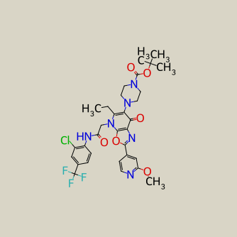 CCc1c(N2CCN(C(=O)OC(C)(C)C)CC2)c(=O)c2nc(-c3ccnc(OC)c3)oc2n1CC(=O)Nc1ccc(C(F)(F)F)cc1Cl